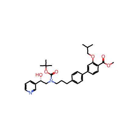 COC(=O)c1ccc(-c2ccc(CCCN(C[C@@H](O)c3cccnc3)C(=O)OC(C)(C)C)cc2)cc1OCC(C)C